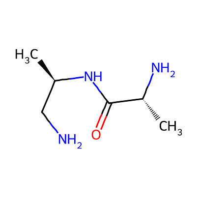 C[C@H](CN)NC(=O)[C@@H](C)N